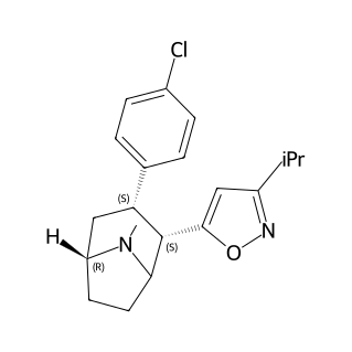 CC(C)c1cc([C@@H]2C3CC[C@H](C[C@@H]2c2ccc(Cl)cc2)N3C)on1